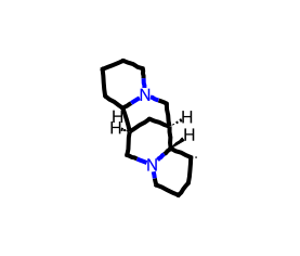 [CH]1CCCN2C[C@@H]3C[C@@H](CN4CCCC[C@H]34)[C@H]12